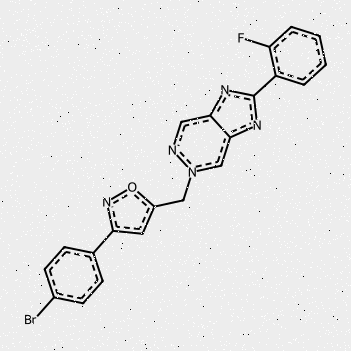 Fc1ccccc1-c1nc2cnn(Cc3cc(-c4ccc(Br)cc4)no3)cc-2n1